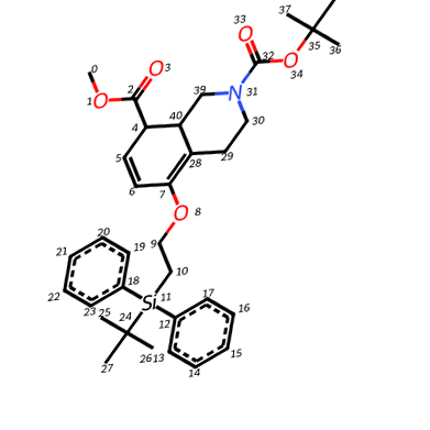 COC(=O)C1C=CC(OCC[Si](c2ccccc2)(c2ccccc2)C(C)(C)C)=C2CCN(C(=O)OC(C)(C)C)CC21